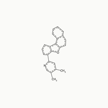 Cc1cnc(-c2cccc3c2oc2ccc4ccccc4c23)cc1C